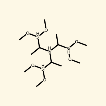 CO[SiH](OC)C(C)[SiH](C(C)[SiH](OC)OC)C(C)[SiH](OC)OC